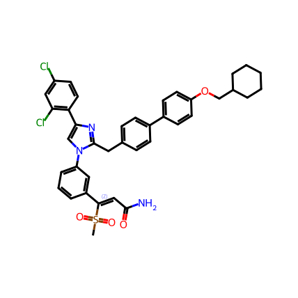 CS(=O)(=O)/C(=C\C(N)=O)c1cccc(-n2cc(-c3ccc(Cl)cc3Cl)nc2Cc2ccc(-c3ccc(OCC4CCCCC4)cc3)cc2)c1